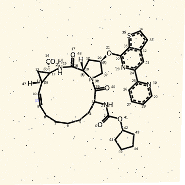 O=C(NC1CCCCC/C=C\[C@@H]2C[C@@]2(C(=O)O)NC(=O)[C@@H]2C[C@@H](Oc3nc(-c4ccccn4)cc4ccsc34)CN2C1=O)OC1CCCC1